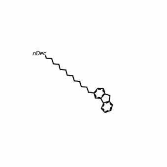 CCCCCCCCCCCCCCCCCCCCCCCc1ccc2c(c1)-c1ccccc1C2